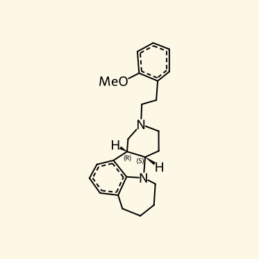 COc1ccccc1CCN1CC[C@H]2[C@@H](C1)c1cccc3c1N2CCCC3